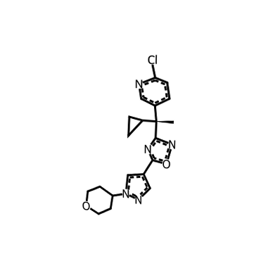 C[C@@](c1ccc(Cl)nc1)(c1noc(-c2cnn(C3CCOCC3)c2)n1)C1CC1